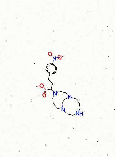 COC(=O)C(CCc1ccc([N+](=O)[O-])cc1)N1CCCN2CCNCCCN(CC2)CC1